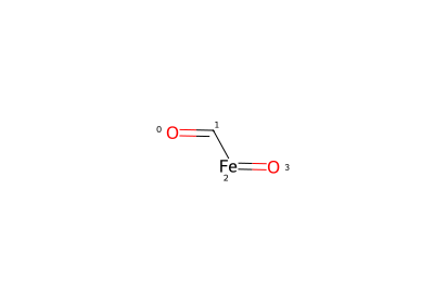 O=[CH][Fe]=[O]